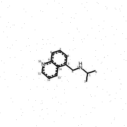 CC(C)NCc1cccc2ncccc12